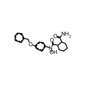 NC(=O)C1CCCCC1C(=O)N(O)c1ccc(OCc2ccccc2)cc1